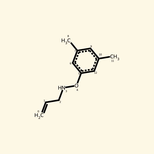 C=CCNOc1cc(C)cc(C)c1